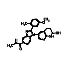 CNC(=O)c1ccc2c(c1)nc(-c1cc(OC)ccc1C)n2-c1ccc2c(c1)CCC(O)N2